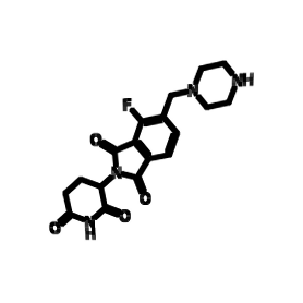 O=C1CCC(N2C(=O)c3ccc(CN4CCNCC4)c(F)c3C2=O)C(=O)N1